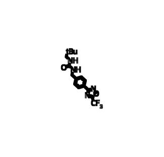 CC(C)(C)CNC(=O)NCc1ccc(-c2noc(C(F)(F)F)n2)cc1